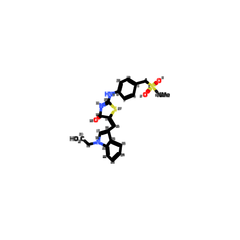 CNS(=O)(=O)Cc1ccc(NC2=NC(=O)/C(=C\c3cn(CC(=O)O)c4ccccc34)S2)cc1